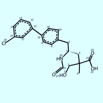 CC(CO)(C[C@@H](Cc1ccc(-c2cccc(Cl)c2)cc1)NC=O)C(=O)O